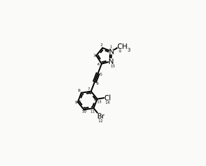 Cn1ccc(C#Cc2cccc(Br)c2Cl)n1